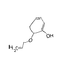 C=CCOC1CC=CC=C1O